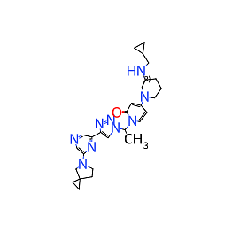 CC(n1cc(-c2cncc(N3CCC4(CC4)C3)n2)nn1)n1ccc(N2CCC[C@@H](NCC3CC3)C2)cc1=O